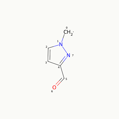 [CH2]n1ccc(C=O)n1